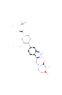 CO[C@H]1CN(C(=O)OC(C)(C)C)CCC1c1ccc2c(CN3CCC(=O)NC3=O)n[nH]c2c1